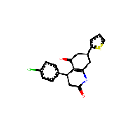 O=C1CC(c2ccc(Cl)cc2)C2=C(CC(c3cccs3)CC2=O)N1